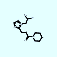 O=C(CCc1nccn1CC(F)F)N1CCCCC1